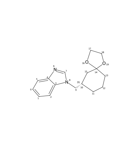 c1ccc2c(c1)ncn2C[C@H]1CCCC2(C1)OCCO2